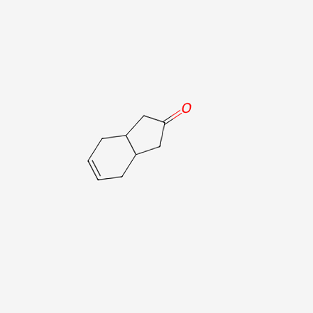 O=C1CC2CC=CCC2C1